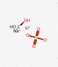 O=C(O)O.O=S(=O)([O-])[O-].[Li+].[Na+]